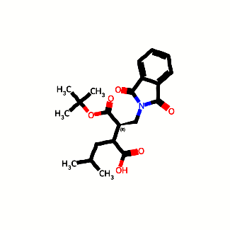 CC(C)CC(C(=O)O)[C@H](CN1C(=O)c2ccccc2C1=O)C(=O)OC(C)(C)C